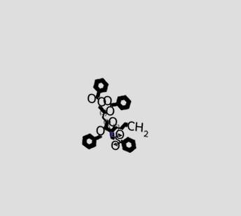 C=CC[C@@H]1O[C@H](C[C@@H](COC(=O)c2ccccc2)OC(=O)c2ccccc2)[C@H](OCc2ccccc2)/C1=C/S(=O)(=O)c1ccccc1